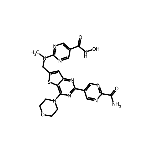 CN(Cc1cc2nc(-c3cnc(C(N)=O)nc3)nc(N3CCOCC3)c2s1)c1ncc(C(=O)NO)cn1